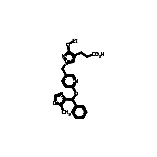 CCOc1nn(Cc2ccc(OC(c3ccccc3)c3ncoc3C)nc2)cc1CCC(=O)O